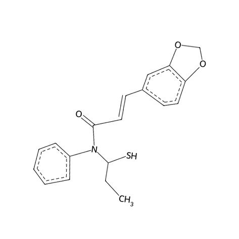 CCC(S)N(C(=O)/C=C/c1ccc2c(c1)OCO2)c1ccccc1